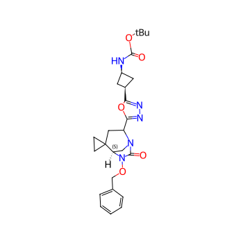 CC(C)(C)OC(=O)N[C@H]1C[C@@H](c2nnc(C3CC4(CC4)[C@H]4CN3C(=O)N4OCc3ccccc3)o2)C1